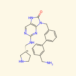 NCc1cccc(-c2cccc(Cn3c(=O)[nH]c4cnc(NC[C@@H]5CCNC5)nc43)c2)c1